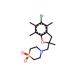 Cc1c(C)c2c(c(C)c1Br)CC(C)(CN1CCS(=O)(=O)CC1)O2